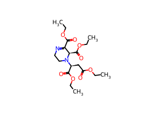 CCOC(=O)C[C@@H](C(=O)OCC)N1CCN=C(C(=O)OCC)[C@H]1C(=O)OCC